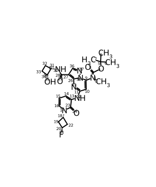 CN(C(=O)OC(C)(C)C)c1cc(Nc2cccn([C@H]3C[C@H](F)C3)c2=O)nc2c(C(=O)N[C@H]3CC[C@H]3O)cnn12